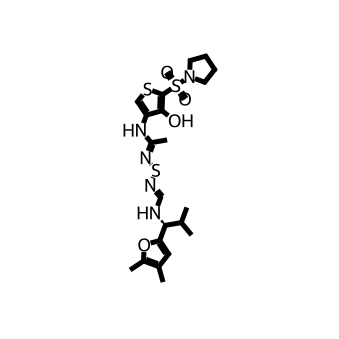 C/C(=N\S/N=C/N[C@@H](c1cc(C)c(C)o1)C(C)C)Nc1csc(S(=O)(=O)N2CCCC2)c1O